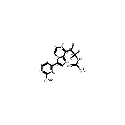 CSc1nccc(-c2cnc3c(C(C)C(C)(C)OC(N)=O)nccn23)n1